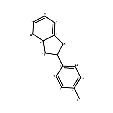 Cc1ccc(C2CC3=CC=CCC3C2)cc1